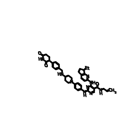 C=CCNC(=O)c1cnc(Nc2ccc(N3CCC(NCc4ccc(C5CCC(=O)NC5=O)cc4)CC3)cc2)nc1Nc1ccc2c(n1)C(CC)CC2